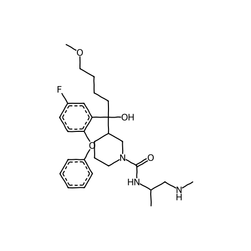 CNCC(C)NC(=O)N1CCCC(C(O)(CCCCOC)c2cc(F)ccc2Oc2ccccc2)C1